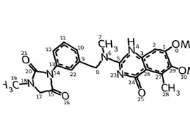 COc1cc2[nH]c(N(C)Cc3cccc(N4C(=O)CN(C)C4=O)c3)nc(=O)c2c(C)c1OC